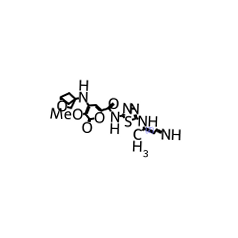 COc1c(NC23COC(C2)C3)cc(C(=O)Nc2nnc(N/C(C)=C\C=N)s2)oc1=O